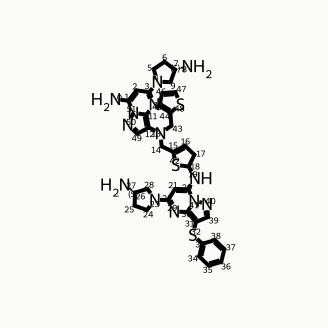 Nc1cc(N2CC[C@H](N)C2)nc2c(N(CC3=CCC(Nc4cc(N5CC[C@H](N)C5)nc5c(Sc6ccccc6)cnn45)S3)Cc3cccs3)cnn12